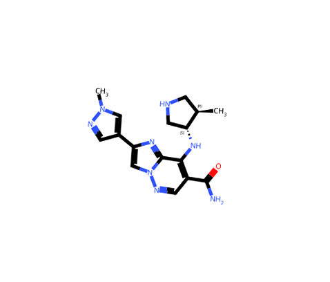 C[C@@H]1CNC[C@H]1Nc1c(C(N)=O)cnn2cc(-c3cnn(C)c3)nc12